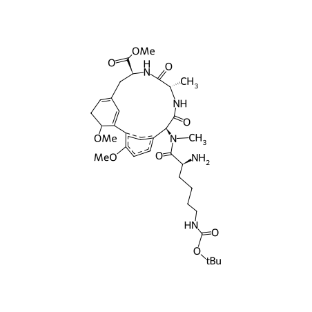 COC(=O)[C@@H]1CC2=CCC(OC)C(=C2)c2cc(ccc2OC)[C@H](N(C)C(=O)[C@@H](N)CCCCNC(=O)OC(C)(C)C)C(=O)N[C@@H](C)C(=O)N1